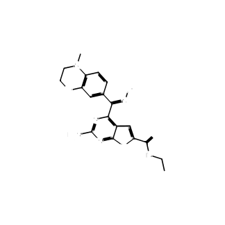 CCNC(=O)c1cc2c(C(=NO)c3ccc4c(c3)OCCN4C)nc(N)nc2s1